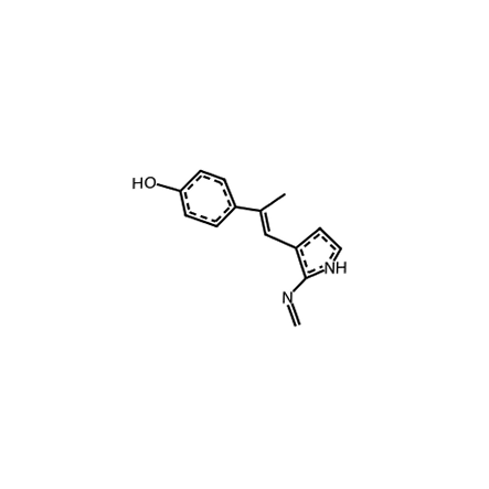 C=Nc1[nH]ccc1/C=C(\C)c1ccc(O)cc1